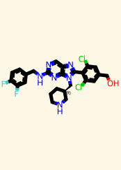 OCc1cc(Cl)c(-c2nc3cnc(NCc4ccc(F)c(F)c4)nc3n2C[C@@H]2CCCNC2)c(Cl)c1